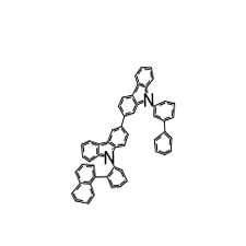 c1ccc(-c2cccc(-n3c4ccccc4c4ccc(-c5ccc6c(c5)c5ccccc5n6-c5ccccc5-c5cccc6ccccc56)cc43)c2)cc1